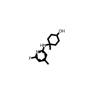 Cc1cc(F)nc(NC2(C)CCC(O)CC2)c1